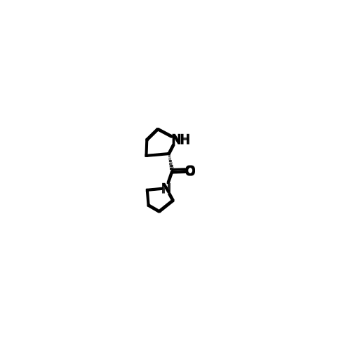 O=C([C@@H]1CCCN1)N1CCCC1